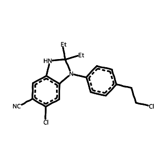 CCC1(CC)Nc2cc(C#N)c(Cl)cc2N1c1ccc(CCCl)cc1